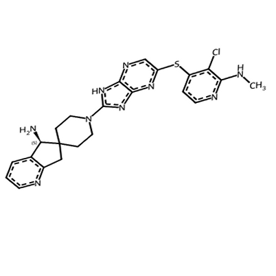 CNc1nccc(Sc2cnc3[nH]c(N4CCC5(CC4)Cc4ncccc4[C@H]5N)nc3n2)c1Cl